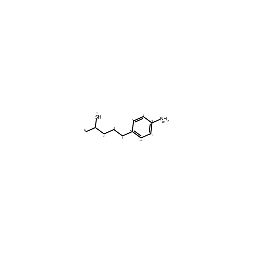 CC(S)CCCc1ccc(N)cc1